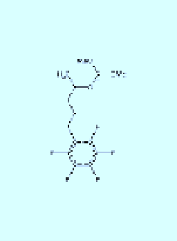 CO[SiH](OC)OC(C)CCCc1c(F)c(F)c(F)c(F)c1F